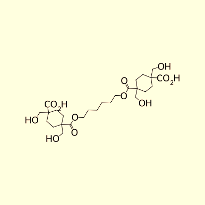 O=C(O)C1(CO)CCC(CO)(C(=O)OCCCCCCOC(=O)C2(CO)CCC(CO)(C(=O)O)CC2)CC1